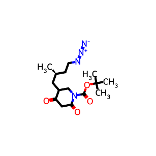 C[C@@H](CCN=[N+]=[N-])CC1CN(C(=O)OC(C)(C)C)C(=O)CC1=O